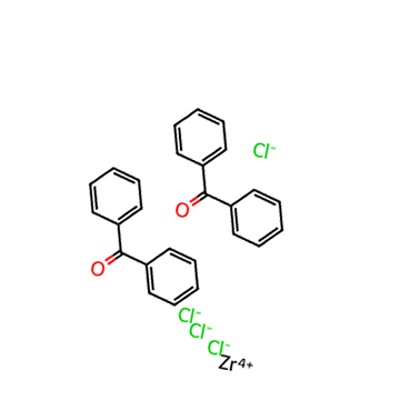 O=C(c1ccccc1)c1ccccc1.O=C(c1ccccc1)c1ccccc1.[Cl-].[Cl-].[Cl-].[Cl-].[Zr+4]